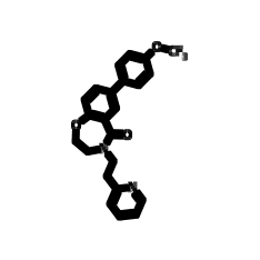 O=C1c2cc(-c3ccc(OC(F)(F)F)cc3)ccc2OCCN1CCc1ccccn1